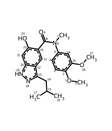 COc1ccc(N(C)C(=O)c2cc3c(CC(C)C)n[nH]c3cc2O)cc1OC